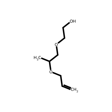 C=CCOC(C)COCCO